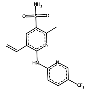 C=Cc1cc(S(N)(=O)=O)c(C)nc1Nc1ccc(C(F)(F)F)cn1